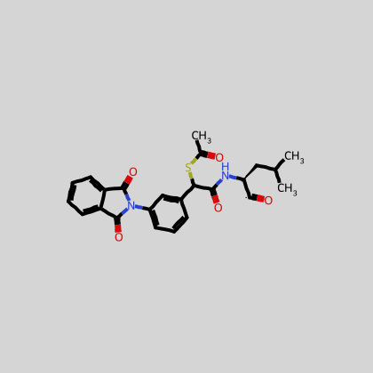 CC(=O)SC(C(=O)N[C@H]([C]=O)CC(C)C)c1cccc(N2C(=O)c3ccccc3C2=O)c1